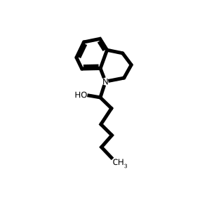 CCCCCC(O)N1CCCc2ccccc21